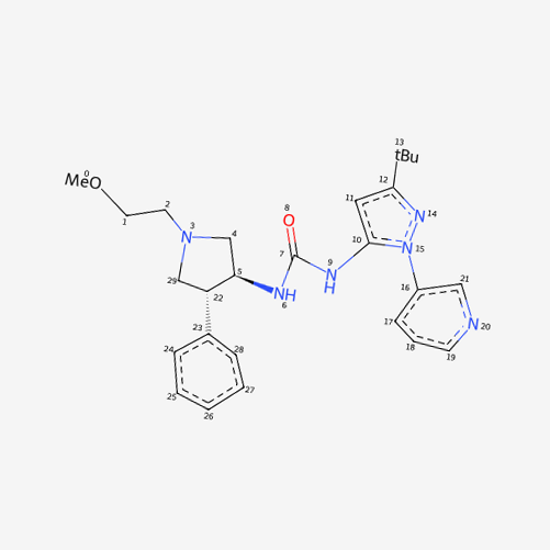 COCCN1C[C@@H](NC(=O)Nc2cc(C(C)(C)C)nn2-c2cccnc2)[C@H](c2ccccc2)C1